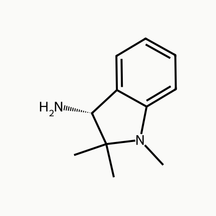 CN1c2ccccc2[C@@H](N)C1(C)C